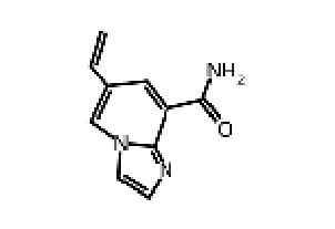 C=Cc1cc(C(N)=O)c2nccn2c1